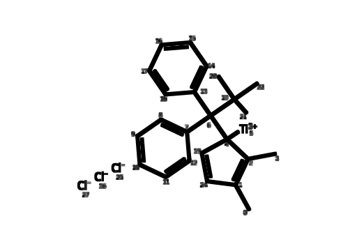 CC1=C(C)[C]([Ti+3])(C(c2ccccc2)(c2ccccc2)C(C)(C)C)C=C1.[Cl-].[Cl-].[Cl-]